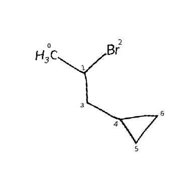 CC(Br)CC1CC1